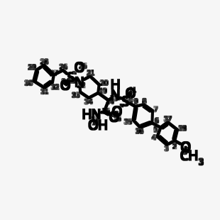 COc1ccc(-c2ccc(S(=O)(=O)NC(C(=O)NO)C3CCN(S(=O)(=O)Cc4ccccc4)CC3)cc2)cc1